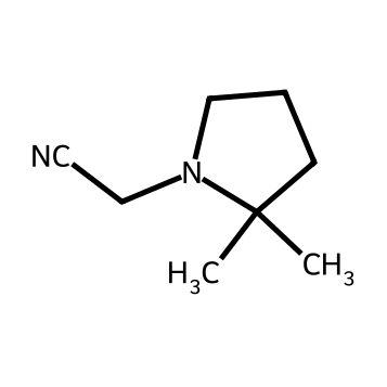 CC1(C)CCCN1CC#N